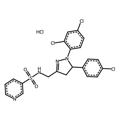 Cl.O=S(=O)(NCC1=NN(c2ccc(Cl)cc2Cl)C(c2ccc(Cl)cc2)C1)c1cccnc1